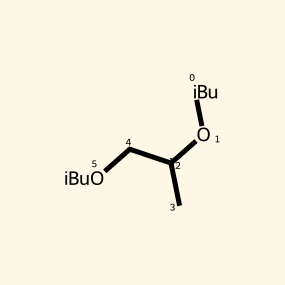 CCC(C)O[C](C)COCC(C)C